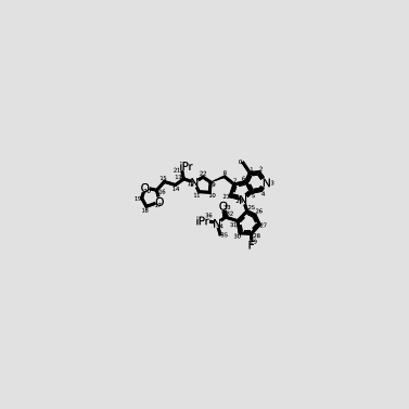 Cc1cncc2c1c(C[C@H]1CCN(C(CCC3OCCO3)C(C)C)C1)cn2-c1ccc(F)cc1C(=O)N(C)C(C)C